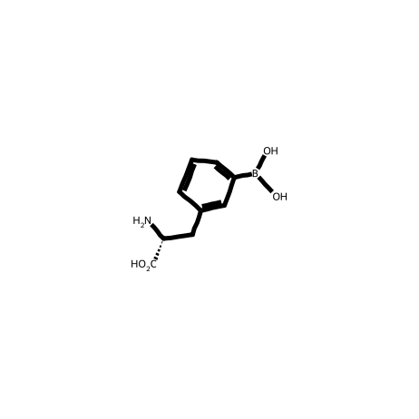 N[C@H](Cc1cccc(B(O)O)c1)C(=O)O